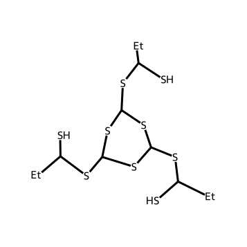 CCC(S)SC1SC(SC(S)CC)SC(SC(S)CC)S1